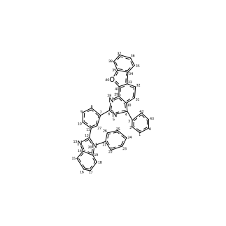 c1ccc(-c2nc(-c3cccc(-c4nc5ccccc5n4-c4ccccc4)c3)nc3c2ccc2c4ccccc4oc23)cc1